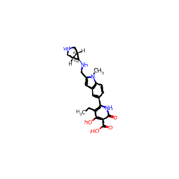 CCc1c(-c2ccc3c(c2)cc(CN[C@H]2[C@@H]4CNC[C@@H]42)n3C)[nH]c(=O)c(C(=O)O)c1O